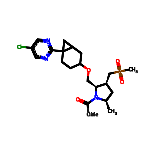 COC(=O)N1[C@H](C)C[C@H](CS(C)(=O)=O)[C@@H]1COC1CCC2(c3ncc(Cl)cn3)CC2C1